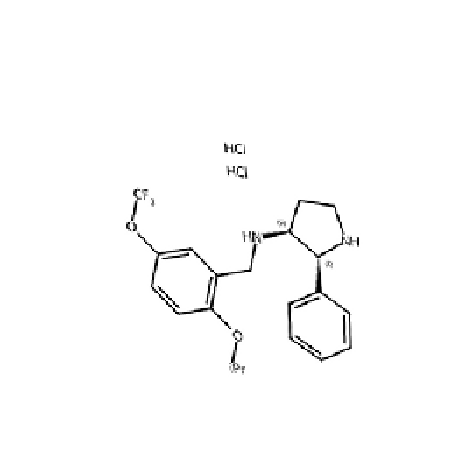 CC(C)Oc1ccc(OC(F)(F)F)cc1CN[C@H]1CCN[C@H]1c1ccccc1.Cl.Cl